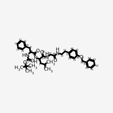 CC(C)CC(NC(=O)C(Cc1ccccc1)NC(=O)OC(C)(C)C)C(=O)NCC(=O)NCCc1ccc(OCc2ccccc2)cc1